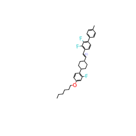 CCCCCCOc1ccc(C2CCC(/C=C/c3ccc(-c4ccc(C)cc4)c(F)c3F)CC2)c(F)c1